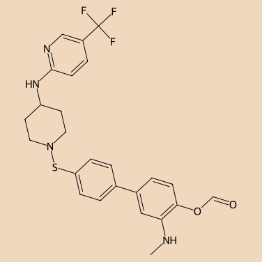 CNc1cc(-c2ccc(SN3CCC(Nc4ccc(C(F)(F)F)cn4)CC3)cc2)ccc1OC=O